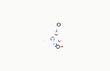 C[C@H]1C[C@@H](Oc2ccnc(COc3ccc(F)cc3F)n2)CCN1Cc1nc2cc(F)c(C(=O)O)cc2n1C[C@@H]1CCO1